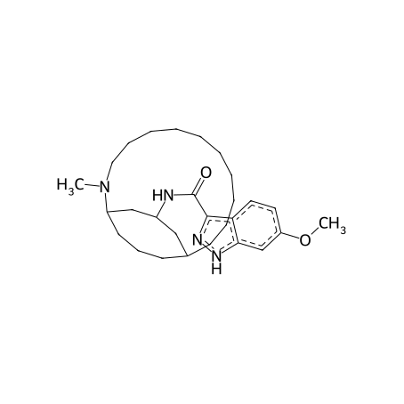 COc1ccc2c(C(=O)NC3CC4CCCCCCCCCCN(C)C(CCC4)C3)n[nH]c2c1